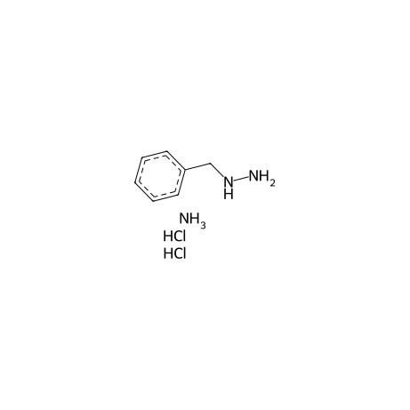 Cl.Cl.N.NNCc1ccccc1